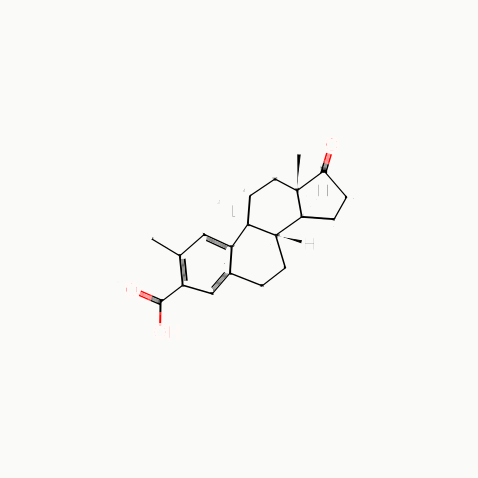 Cc1cc2c(cc1C(=O)O)CC[C@@H]1[C@@H]2CC[C@]2(C)C(=O)CC[C@@H]12